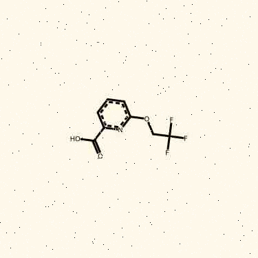 O=C(O)c1cccc(OCC(F)(F)F)n1